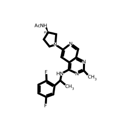 CC(=O)N[C@@H]1CCN(c2cc3c(NC(C)c4cc(F)ccc4F)nc(C)nc3cn2)C1